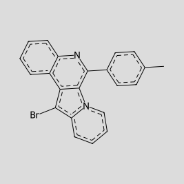 Cc1ccc(-c2nc3ccccc3c3c(Br)c4ccccn4c23)cc1